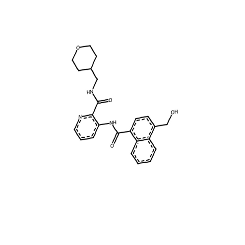 O=C(NCC1CCOCC1)c1ncccc1NC(=O)c1ccc(CO)c2ccccc12